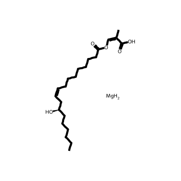 CCCCCC[C@@H](O)C/C=C\CCCCCCCC(=O)OC=C(C)C(=O)O.[MgH2]